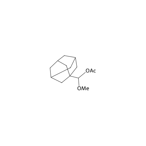 COC(OC(C)=O)C12CC3CC(CC(C3)C1)C2